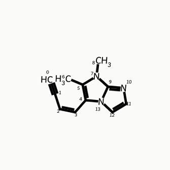 C#C/C=C\c1c(C)n(C)c2nccn12